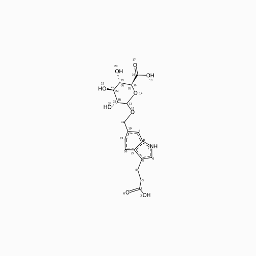 O=C(O)CCc1c[nH]c2cc(COC3O[C@H](C(=O)O)[C@@H](O)[C@H](O)[C@H]3O)ccc12